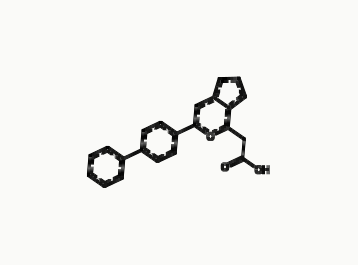 O=C(O)Cc1oc(-c2ccc(-c3ccccc3)cc2)cc2cccc1-2